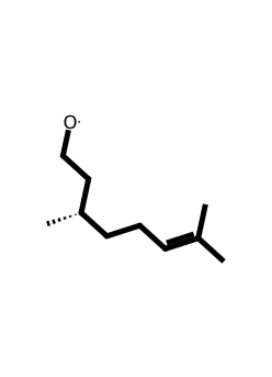 CC(C)=CCC[C@H](C)CC[O]